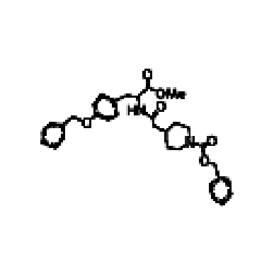 COC(=O)[C@H](Cc1ccc(OCc2ccccc2)cc1)NC(=O)CC1CCN(C(=O)OCc2ccccc2)CC1